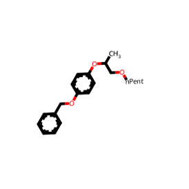 CCCCCOCC(C)Oc1ccc(OCc2ccccc2)cc1